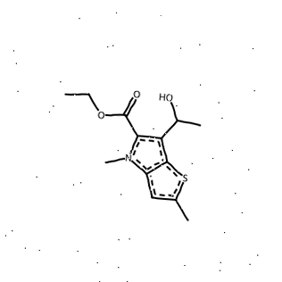 CCOC(=O)c1c(C(C)O)c2sc(C)cc2n1C